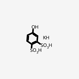 O=S(=O)(O)c1ccc(O)cc1S(=O)(=O)O.[KH]